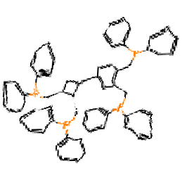 c1ccc(P(Cc2ccc(C3C[C@H](CP(c4ccccc4)c4ccccc4)[C@H]3CP(c3ccccc3)c3ccccc3)cc2CP(c2ccccc2)c2ccccc2)c2ccccc2)cc1